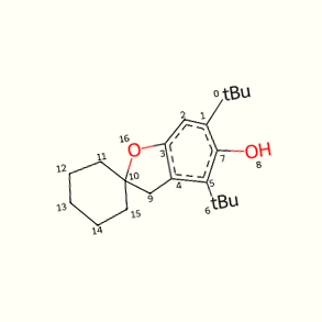 CC(C)(C)c1cc2c(c(C(C)(C)C)c1O)CC1(CCCCC1)O2